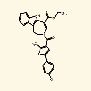 CCOC(=O)C1=CN(C(=O)c2cc(-c3ccc(Cl)cc3)oc2C)CCc2c1[nH]c1ccccc21